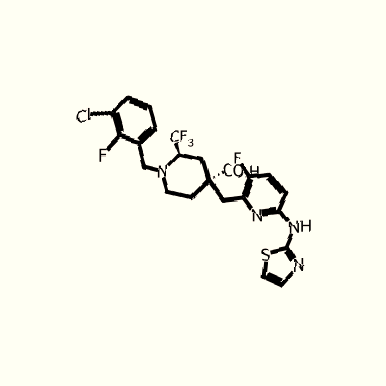 O=C(O)[C@]1(Cc2nc(Nc3nccs3)ccc2F)CCN(Cc2cccc(Cl)c2F)[C@@H](C(F)(F)F)C1